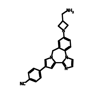 N#Cc1ccc(-c2cc3n(c2)Cc2cc(N4CC(CN)C4)ccc2-n2ccnc2-3)cc1